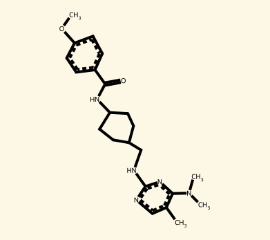 COc1ccc(C(=O)NC2CCC(CNc3ncc(C)c(N(C)C)n3)CC2)cc1